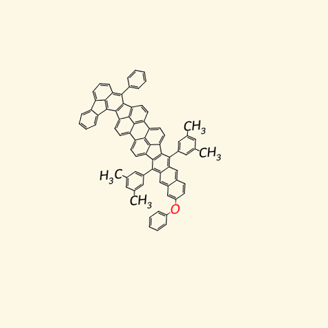 Cc1cc(C)cc(-c2c3c(c(-c4cc(C)cc(C)c4)c4cc5cc(Oc6ccccc6)ccc5cc24)-c2ccc4c5ccc6c7c(ccc(c8ccc-3c2c84)c57)c2c(-c3ccccc3)c3cccc4c5ccccc5c(c34)c62)c1